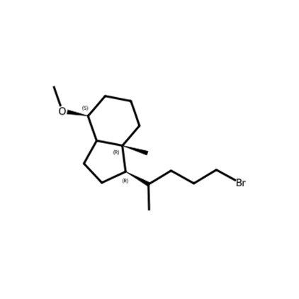 CO[C@H]1CCC[C@@]2(C)C1CC[C@@H]2C(C)CCCBr